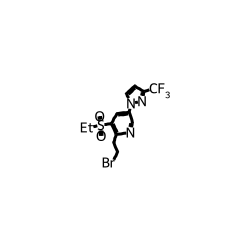 CCS(=O)(=O)c1cc(-n2ccc(C(F)(F)F)n2)cnc1CCBr